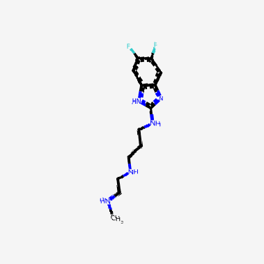 CNCCNCCCNc1nc2cc(F)c(F)cc2[nH]1